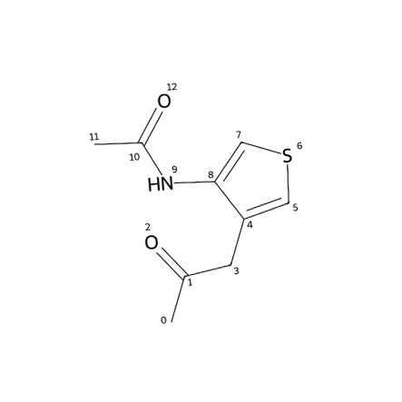 CC(=O)Cc1cscc1NC(C)=O